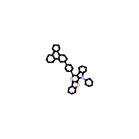 c1ccc(-n2c3ccccc3c3c(-c4ccc(-c5ccc6c7ccccc7c7ccccc7c6c5)cc4)nc4c5ccccc5oc4c32)cc1